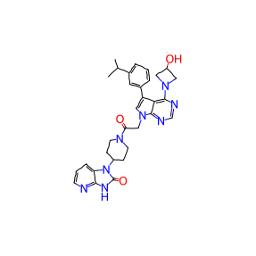 CC(C)c1cccc(-c2cn(CC(=O)N3CCC(n4c(=O)[nH]c5ncccc54)CC3)c3ncnc(N4CC(O)C4)c23)c1